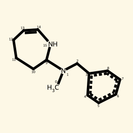 CN(Cc1ccccc1)C1CCCC=CN1